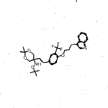 CC(C)(C)ONC1(CCc2ccc(OCCCc3csc4ccccc34)c(C(F)(F)F)c2)COC(C)(C)OC1